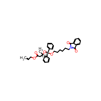 C=CCOC(=O)CC(C)(C)O[Si](OCCCCCCN1C(=O)c2ccccc2C1=O)(c1ccccc1)c1ccccc1